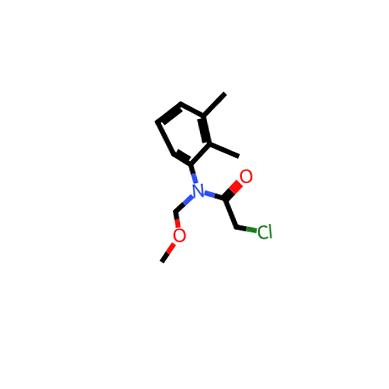 COCN(C(=O)CCl)c1cccc(C)c1C